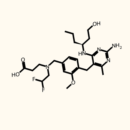 CCC[C@@H](CCO)Nc1nc(N)nc(C)c1Cc1ccc(CN(CCC(=O)O)CC(F)F)cc1OC